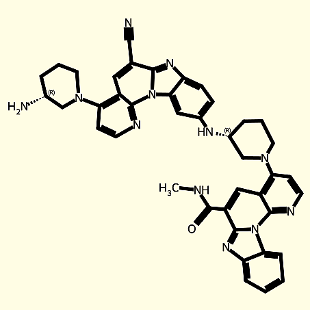 CNC(=O)c1cc2c(N3CCC[C@@H](Nc4ccc5nc6c(C#N)cc7c(N8CCC[C@@H](N)C8)ccnc7n6c5c4)C3)ccnc2n2c1nc1ccccc12